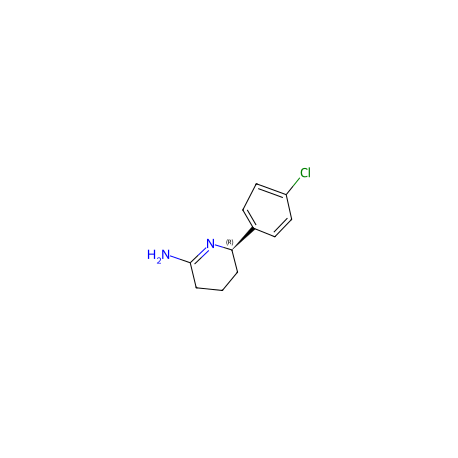 NC1=N[C@@H](c2ccc(Cl)cc2)CCC1